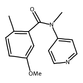 COc1ccc(C)c(C(=O)N(C)c2ccncc2)c1